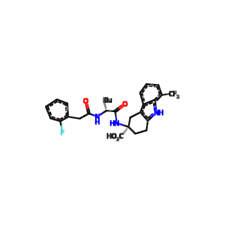 CCC(C)[C@@H](NC(=O)Cc1ccccc1F)C(=O)N[C@]1(C(=O)O)CCc2[nH]c3c(C(F)(F)F)cccc3c2C1